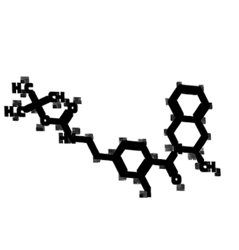 C[C@@H]1Cc2ccccc2CN1C(=O)c1ccc(CCNC(=O)OC(C)(C)C)cc1I